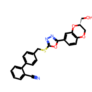 N#Cc1ccccc1-c1ccc(CSc2nnc(-c3ccc4c(c3)O[C@H](CO)CO4)o2)cc1